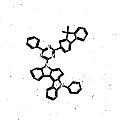 CC1(C)c2ccccc2-c2ccc(-c3nc(-c4ccccc4)nc(-n4c5ccccc5c5c6c7ccccc7n(-c7ccccc7)c6ccc54)n3)cc21